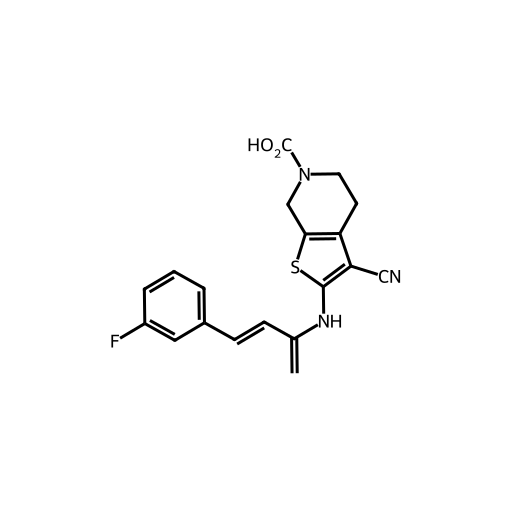 C=C(/C=C/c1cccc(F)c1)Nc1sc2c(c1C#N)CCN(C(=O)O)C2